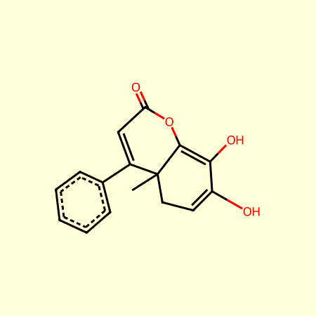 CC12CC=C(O)C(O)=C1OC(=O)C=C2c1ccccc1